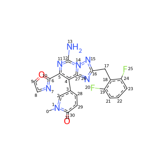 Cn1cc(-c2c(-c3ncco3)nc(N)n3nc(Cc4c(F)cccc4F)nc23)ccc1=O